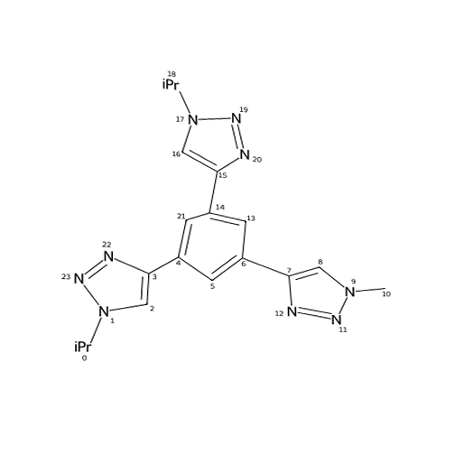 CC(C)n1cc(-c2cc(-c3cn(C)nn3)cc(-c3cn(C(C)C)nn3)c2)nn1